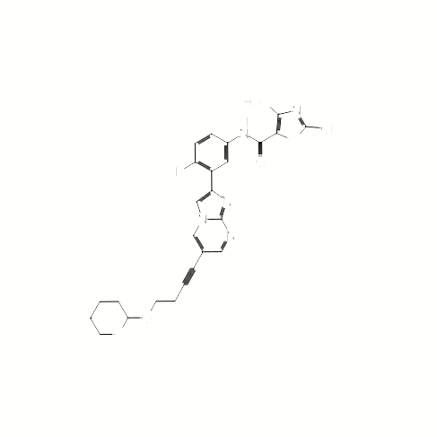 Cc1nc(C)c(C(=O)Nc2ccc(F)c(-c3cn4cc(C#CCCOC5CCCCO5)cnc4n3)c2)o1